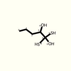 CCCC(O)C(O)(S)S